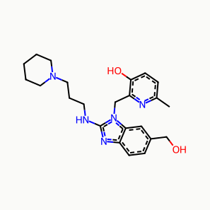 Cc1ccc(O)c(Cn2c(NCCCN3CCCCC3)nc3ccc(CO)cc32)n1